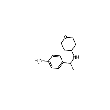 CC(NC1CCOCC1)c1ccc(N)cc1